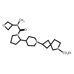 CCOC(=O)N1CCC2(CC(N3CCC(C4CCCN4C(=O)N(C)C4COC4)CC3)C2)C1